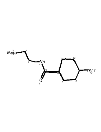 CCCC1CCC(C(=O)NCCNC)CC1